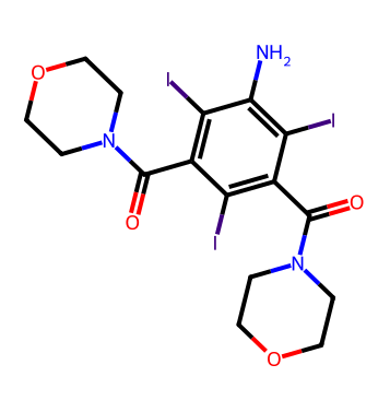 Nc1c(I)c(C(=O)N2CCOCC2)c(I)c(C(=O)N2CCOCC2)c1I